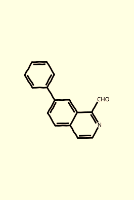 O=Cc1nccc2ccc(-c3ccccc3)cc12